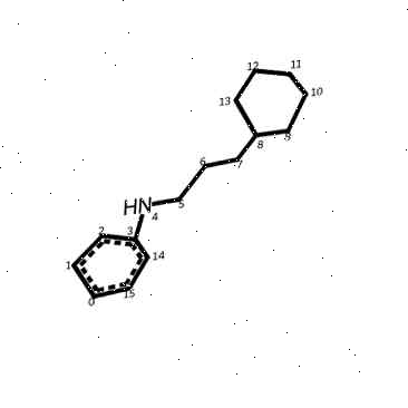 c1ccc(NCCCC2CCCCC2)cc1